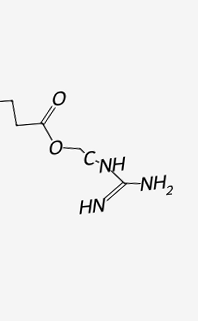 CCCC(=O)OCCNC(=N)N